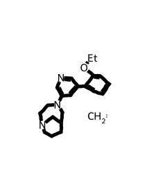 CCOc1ccccc1-c1cncc(N2CCN3CCCC(C3)C2)c1.[CH2]